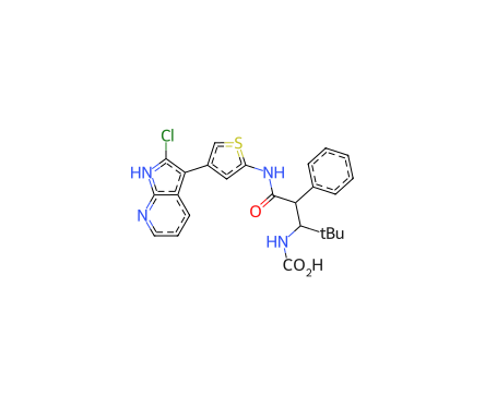 CC(C)(C)C(NC(=O)O)C(C(=O)Nc1cc(-c2c(Cl)[nH]c3ncccc23)cs1)c1ccccc1